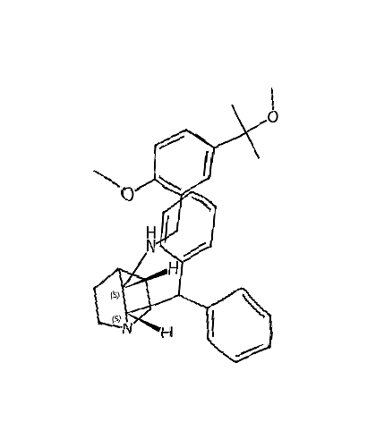 COc1ccc(C(C)(C)OC)cc1CN[C@H]1C2CCN(CC2)[C@H]1C(c1ccccc1)c1ccccc1